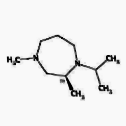 CC(C)N1CCCN(C)C[C@@H]1C